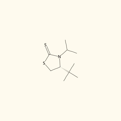 CC(C)N1C(=S)SC[C@H]1C(C)(C)C